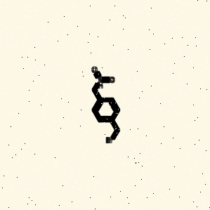 O=[SH](=O)Cc1ccc(CBr)cc1